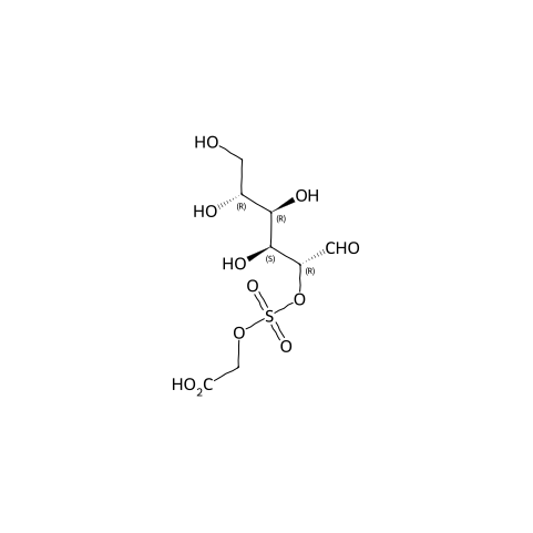 O=C[C@H](OS(=O)(=O)OCC(=O)O)[C@@H](O)[C@H](O)[C@H](O)CO